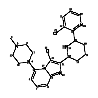 CN1CCN(c2cccc3nc(C4CCCC(c5ncccc5Cl)N4)c(Cl)n23)CC1